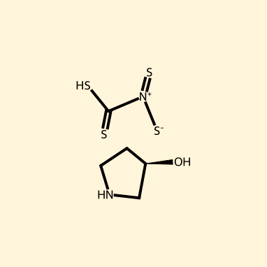 O[C@@H]1CCNC1.S=C(S)[N+](=S)[S-]